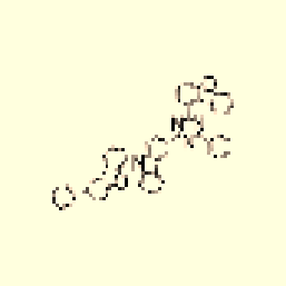 c1ccc(-c2ccc3oc4c(-n5c6ccccc6c6cc(-c7nc(-c8ccccc8)nc(-c8cccc9oc%10ccccc%10c89)n7)ccc65)cccc4c3c2)cc1